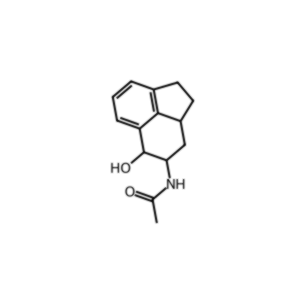 CC(=O)NC1CC2CCc3cccc(c32)C1O